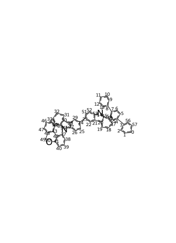 c1ccc(-c2ccc(-c3ccccc3-n3c4ccccc4c4cc(-c5ccc6c(c5)c5ccccc5n6-c5cccc6c5-c5ccccc5CO6)ccc43)cc2)cc1